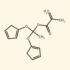 C=C(C)C(=O)OC(C)(OC1=CC=CC1)OC1=CC=CC1